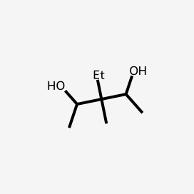 CCC(C)(C(C)O)C(C)O